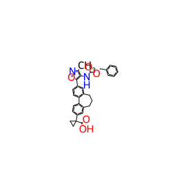 Cc1noc(-c2ccc3c(c2)CCCc2cc(C4(C(=O)O)CC4)ccc2-3)c1NC(=O)OCc1ccccc1